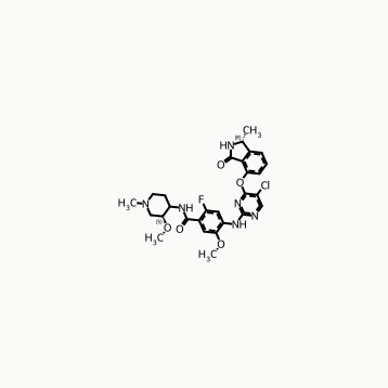 COc1cc(C(=O)NC2CCN(C)C[C@@H]2OC)c(F)cc1Nc1ncc(Cl)c(Oc2cccc3c2C(=O)N[C@@H]3C)n1